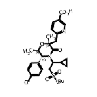 C[C@H]1O[C@](C)(Cc2ccc(C(=O)O)cn2)C(=O)N(C(CS(=O)(=O)C(C)(C)C)C2CC2)[C@@H]1c1ccc(Cl)cc1